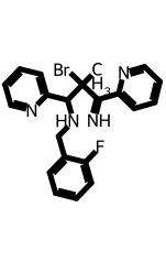 CC(Br)(C(=N)c1ccccn1)C(NCc1ccccc1F)c1ccccn1